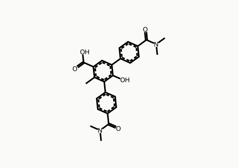 Cc1c(C(=O)O)cc(-c2ccc(C(=O)N(C)C)cc2)c(O)c1-c1ccc(C(=O)N(C)C)cc1